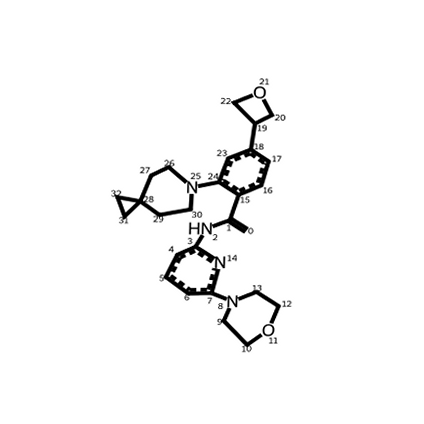 C=C(Nc1cccc(N2CCOCC2)n1)c1ccc(C2COC2)cc1N1CCC2(CC1)CC2